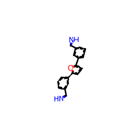 N=Cc1cccc(-c2ccc(-c3cccc(C=N)c3)o2)c1